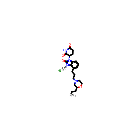 Br.CNCCC1CN(CCCc2cccc3c2n(C)c(=O)n3C2CCC(=O)NC2=O)CCO1